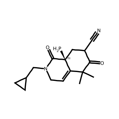 CC1(C)C(=O)C(C#N)C[C@@]2(P)C(=O)N(CC3CC3)CC=C12